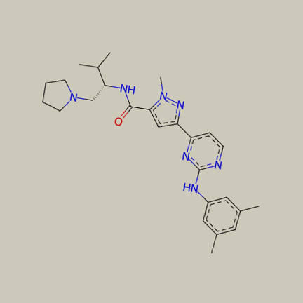 Cc1cc(C)cc(Nc2nccc(-c3cc(C(=O)N[C@H](CN4CCCC4)C(C)C)n(C)n3)n2)c1